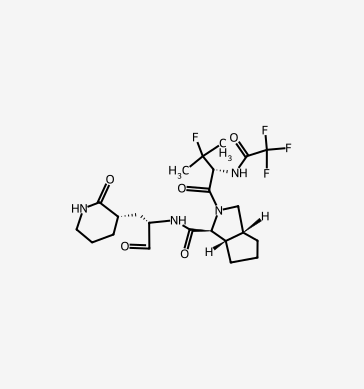 CC(C)(F)[C@H](NC(=O)C(F)(F)F)C(=O)N1C[C@@H]2CCC[C@@H]2[C@H]1C(=O)N[C@H](C=O)C[C@@H]1CCCNC1=O